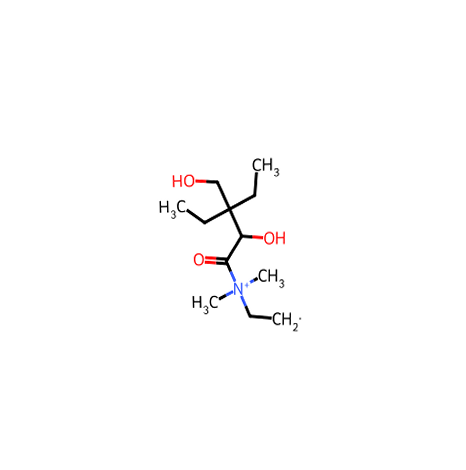 [CH2]C[N+](C)(C)C(=O)C(O)C(CC)(CC)CO